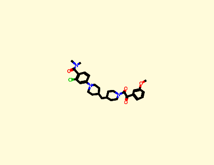 COc1cccc(C(=O)C(=O)N2CCC(CC3CCN(c4ccc(C(=O)N(C)C)c(Cl)c4)CC3)CC2)c1